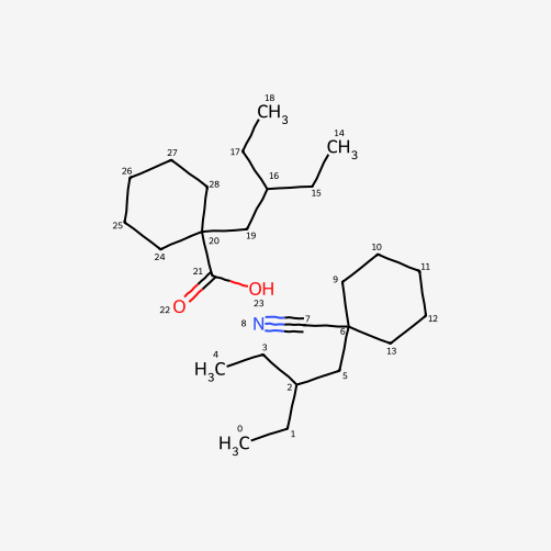 CCC(CC)CC1(C#N)CCCCC1.CCC(CC)CC1(C(=O)O)CCCCC1